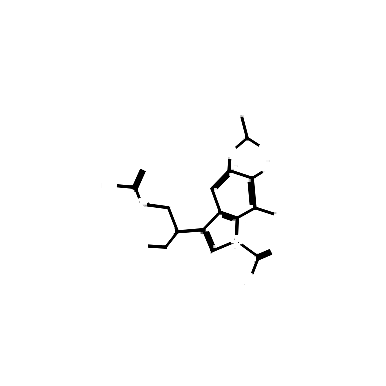 CCC(CNC(C)=O)c1cn(C(C)=O)c2c(F)c(Cl)c(OC(C)C)cc12